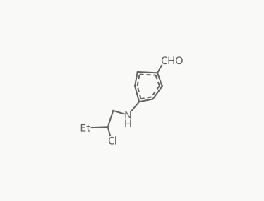 CCC(Cl)CNc1ccc(C=O)cc1